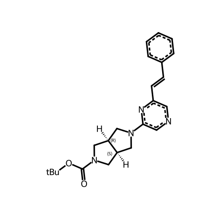 CC(C)(C)OC(=O)N1C[C@@H]2CN(c3cncc(C=Cc4ccccc4)n3)C[C@@H]2C1